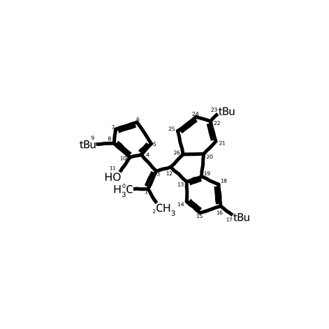 CC(C)=C(c1cccc(C(C)(C)C)c1O)C1c2ccc(C(C)(C)C)cc2C2C=C(C(C)(C)C)C=CC21